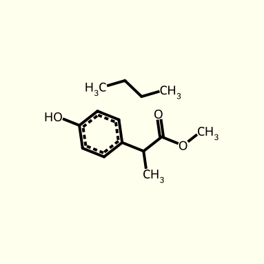 CCCC.COC(=O)C(C)c1ccc(O)cc1